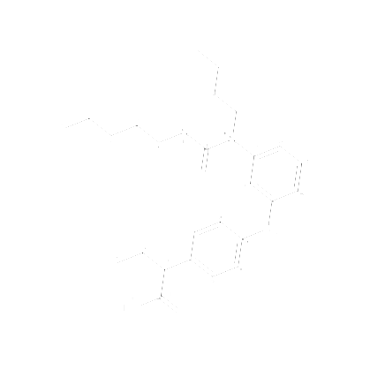 CCCCCNC(=O)N(CCCC)c1cccc(Sc2ccc(C(CC)C(=O)O)cc2)c1